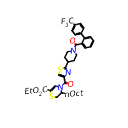 CCCCCCCCC1CSC(C(=O)OCC)=CN1C(=O)c1csc(C2CCN(C(=O)c3ccccc3-c3ccc(C(F)(F)F)cc3)CC2)n1